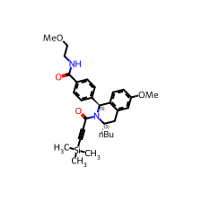 CCCC[C@H]1Cc2cc(OC)ccc2[C@H](c2ccc(C(=O)NCCOC)cc2)N1C(=O)C#C[Si](C)(C)C